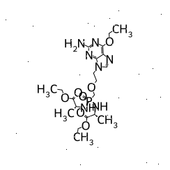 CCOC(=O)[C@H](C)NP(=O)(COCCn1cnc2c(OCC)nc(N)nc21)N[C@@H](C)C(=O)OCC